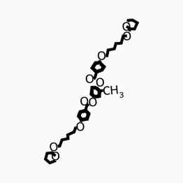 Cc1cc(OC(=O)c2ccc(OCCCCCCOC3CCCCO3)cc2)ccc1OC(=O)c1ccc(OCCCCCCOC2CCCCO2)cc1